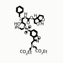 CCOC(=O)CN(CC(=O)OCC)Cc1noc2ccc(S(=O)(=O)N(CC(C)C)C[C@@H](O)[C@H](Cc3ccccc3)NC(=O)OC3CO[C@H]4OCC[C@@H]34)cc12